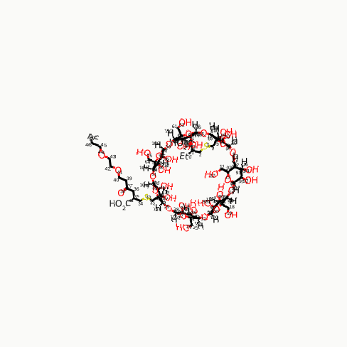 CCC(CSCC1O[C@@H]2O[C@@H]3C(CO)O[C@H](O[C@@H]4C(CO)O[C@H](O[C@@H]5C(CO)O[C@H](O[C@@H]6C(CSCC(CC(=O)CCOCCOCCC(C)=O)C(=O)O)O[C@H](O[C@@H]7C(CO)O[C@H](O[C@@H]8C(CO)O[C@H](O[C@H]1[C@H](O)C2O)C(O)[C@H]8O)C(O)[C@H]7O)C(O)[C@H]6O)C(O)[C@H]5O)C(O)[C@H]4O)C(O)[C@H]3O)C(=O)O